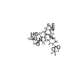 CC(C)(C)OC(=O)C1CCN(c2cc(C(F)(F)F)ccc2C2CCN(C(=O)OC(C)(C)C)C2CO)CC1